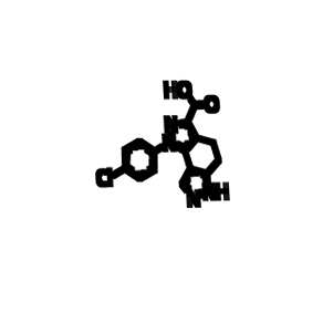 O=C(O)c1nn(-c2ccc(Cl)cc2)c2c1CCc1[nH]ncc1-2